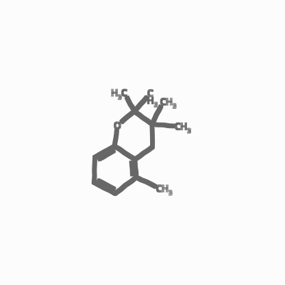 Cc1cccc2c1CC(C)(C)C(C)(C)O2